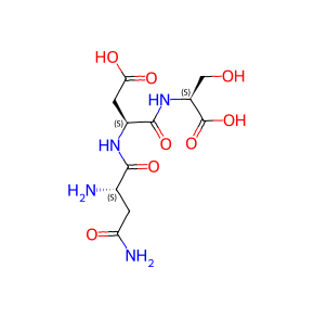 NC(=O)C[C@H](N)C(=O)N[C@@H](CC(=O)O)C(=O)N[C@@H](CO)C(=O)O